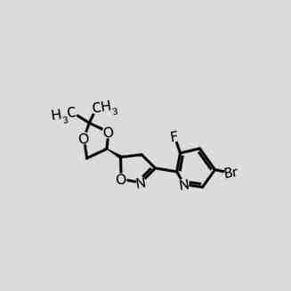 CC1(C)OC[C@H](C2CC(c3ncc(Br)cc3F)=NO2)O1